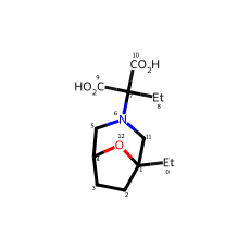 CCC12CCC(CN(C(CC)(C(=O)O)C(=O)O)C1)O2